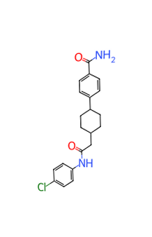 NC(=O)c1ccc(C2CCC(CC(=O)Nc3ccc(Cl)cc3)CC2)cc1